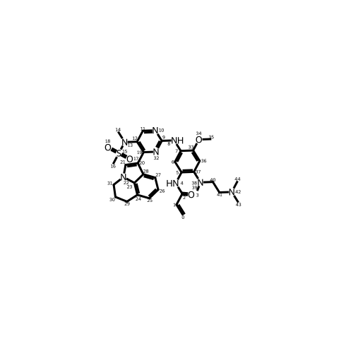 C=CC(=O)Nc1cc(Nc2ncc(N(C)S(C)(=O)=O)c(-c3cn4c5c(cccc35)CCC4)n2)c(OC)cc1N(C)CCN(C)C